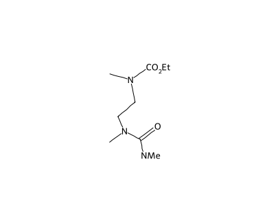 CCOC(=O)N(C)CCN(C)C(=O)NC